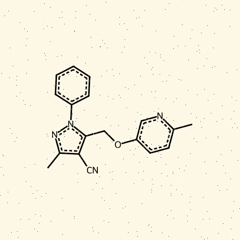 Cc1ccc(OCc2c(C#N)c(C)nn2-c2ccccc2)cn1